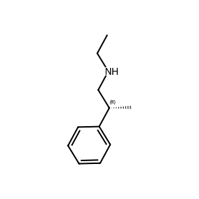 CCNC[C@H](C)c1ccccc1